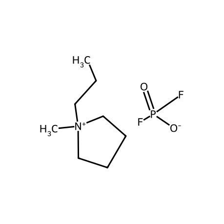 CCC[N+]1(C)CCCC1.O=P([O-])(F)F